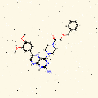 COc1ccc(-c2cnc3nc(N)nc(N4CCN(C(=O)COCc5ccccc5)CC4)c3n2)cc1OC